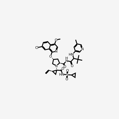 C=C[C@@H]1C[C@@]1(C(=O)NS(=O)(=O)C1CC1)N1C[C@H](Oc2ncc(OC)c3ccc(Cl)cc23)C[C@H]1C(=O)NC(=O)C(Nc1cncc(C)c1)C(C)(C)C